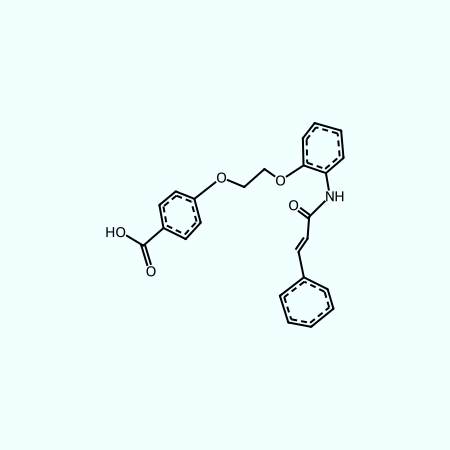 O=C(/C=C/c1ccccc1)Nc1ccccc1OCCOc1ccc(C(=O)O)cc1